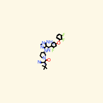 CC(C)(C)/C=C(\C#N)C(=O)N1CCC[C@@H](n2nc(-c3ccc(Oc4cccc(F)c4F)cc3F)c3c(N)ncnc32)C1